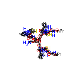 CCCOCCNC(=O)CCC(=O)NC(CS)C(=O)NC(Cc1c[nH]c2ccccc12)C(=O)NCCOCCOC(OCCOCCN)(OCCOCCNC(=O)C(Cc1c[nH]c2ccccc12)NC(=O)C(CS)NC(=O)CCC(=O)NCCOCCC)OCCOCCNC(=O)C(Cc1c[nH]c2ccccc12)NC(=O)C(CS)NC(C)(C)C